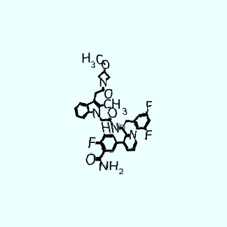 COC1CN(C(=O)Cc2c(C)n(CC(=O)N[C@@H](Cc3cc(F)cc(F)c3)c3ncccc3-c3ccc(F)c(C(N)=O)c3)c3ccccc23)C1